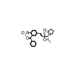 CC(C)(/C=C/c1ccc([N+](=O)[O-])c(C(=O)c2ccccc2)c1)CN1CCCC1